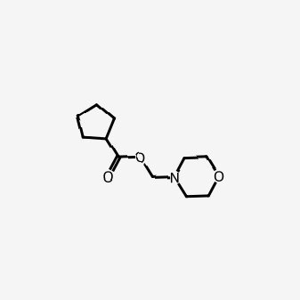 O=C(OCN1CCOCC1)C1CCCC1